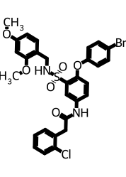 COc1ccc(CNS(=O)(=O)c2cc(NC(=O)Cc3ccccc3Cl)ccc2Oc2ccc(Br)cc2)c(OC)c1